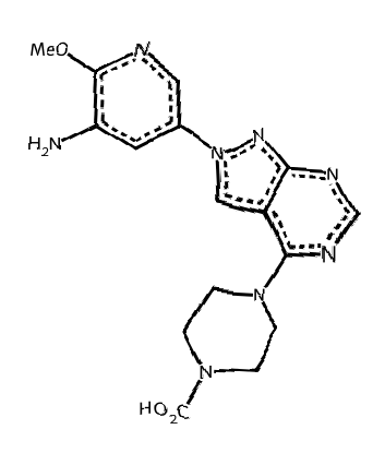 COc1ncc(-n2cc3c(N4CCN(C(=O)O)CC4)ncnc3n2)cc1N